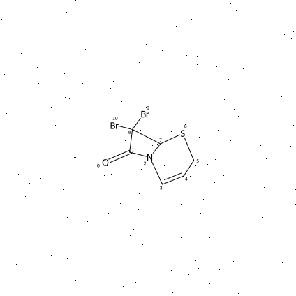 O=C1N2C=CCSC2C1(Br)Br